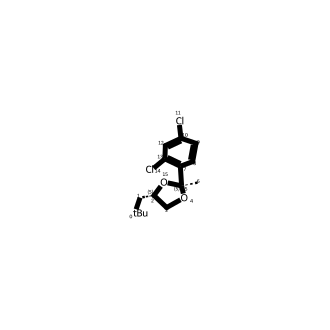 CC(C)(C)C[C@H]1CO[C@](C)(c2ccc(Cl)cc2Cl)O1